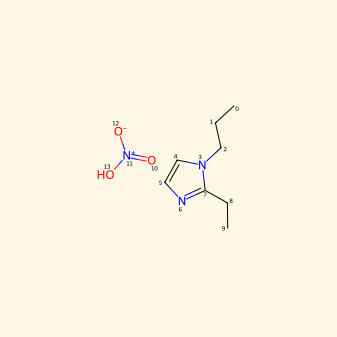 CCCn1ccnc1CC.O=[N+]([O-])O